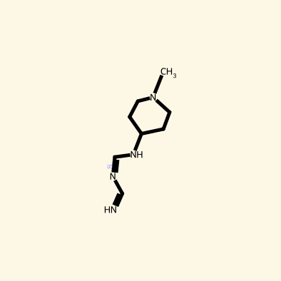 CN1CCC(N/C=N\C=N)CC1